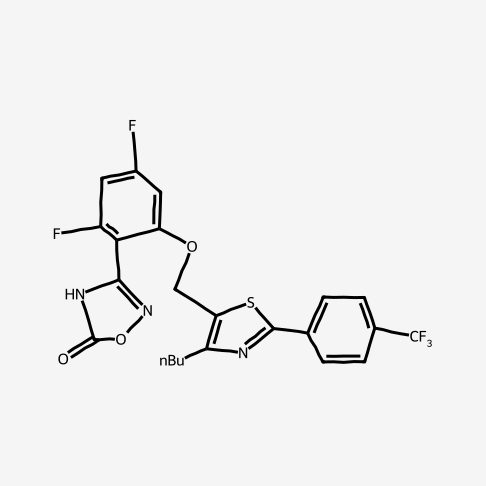 CCCCc1nc(-c2ccc(C(F)(F)F)cc2)sc1COc1cc(F)cc(F)c1-c1noc(=O)[nH]1